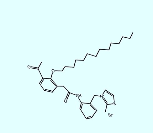 CCCCCCCCCCCCCCOc1c(CC(=O)Nc2ccccc2C[n+]2ccsc2C)cccc1C(C)=O.[Br-]